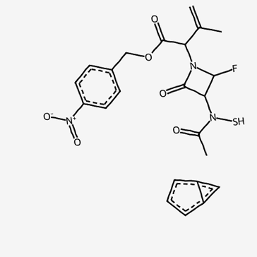 C=C(C)C(C(=O)OCc1ccc([N+](=O)[O-])cc1)N1C(=O)C(N(S)C(C)=O)C1F.c1cc2cc-2c1